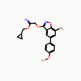 Cc1cc(-c2ccc(OC(F)(F)F)cc2)cc2c(OCC(=N)OCC3CC3)noc12